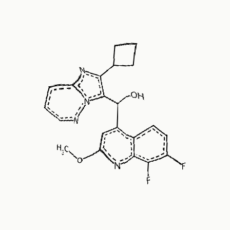 COc1cc(C(O)c2c(C3CCC3)nc3cccnn23)c2ccc(F)c(F)c2n1